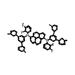 Cc1cccc(-c2cc(-c3cccc(C)c3)cc(N(c3cccc(F)c3F)c3ccc4ccc5c(N(c6cc(-c7cccc(C)c7)cc(-c7cccc(C)c7)c6)c6cccc(F)c6F)ccc6ccc3c4c65)c2)c1